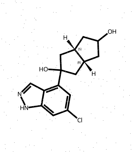 OC1C[C@@H]2CC(O)(c3cc(Cl)cc4[nH]ncc34)C[C@@H]2C1